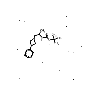 CC(CN1CC(c2ccccc2)C1)NC(=O)OC(C)(C)C